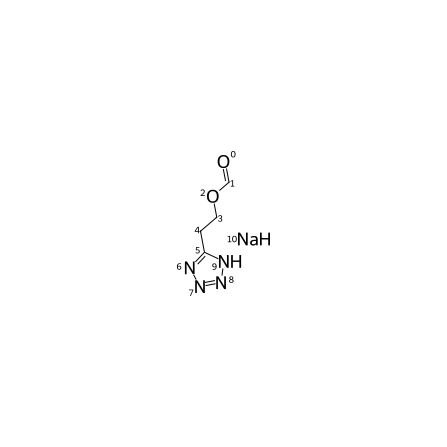 O=COCCc1nnn[nH]1.[NaH]